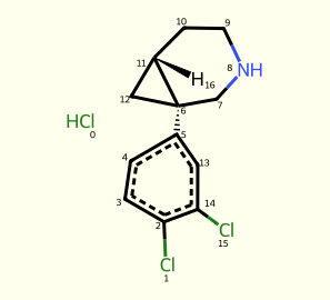 Cl.Clc1ccc([C@@]23CNCC[C@H]2C3)cc1Cl